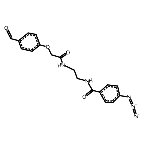 [N-]=[N+]=Nc1ccc(C(=O)NCCNC(=O)COc2ccc(C=O)cc2)cc1